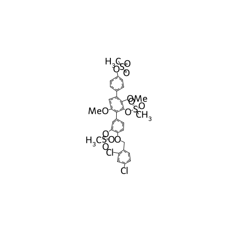 COc1cc(-c2ccc(OS(C)(=O)=O)cc2)c(OC)c(OS(C)(=O)=O)c1-c1ccc(OCc2ccc(Cl)cc2Cl)c(OS(C)(=O)=O)c1